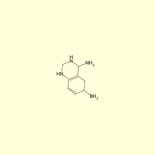 BC1C=CC2=C(C1)C(N)NCN2